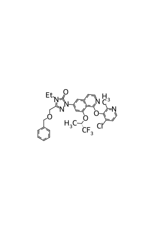 CCn1c(COCc2ccccc2)nn(-c2cc(O[C@@H](C)C(F)(F)F)c3c(Oc4c(Cl)ccnc4C)nccc3c2)c1=O